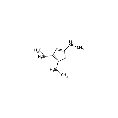 C[SiH2]C1=CC([SiH2]C)=C([SiH2]C)C1